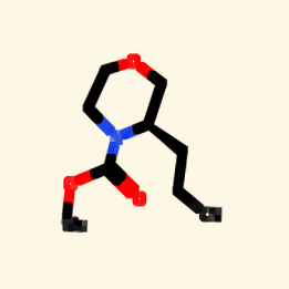 CC(C)(C)OC(=O)N1CCOC[C@H]1CCC#N